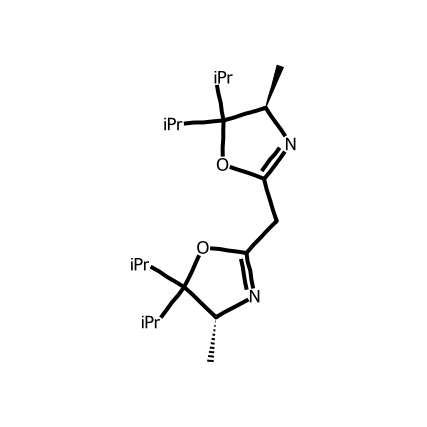 CC(C)C1(C(C)C)OC(CC2=N[C@H](C)C(C(C)C)(C(C)C)O2)=N[C@@H]1C